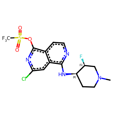 CN1CC[C@@H](Nc2nccc3c(OS(=O)(=O)C(F)(F)F)nc(Cl)cc23)[C@@H](F)C1